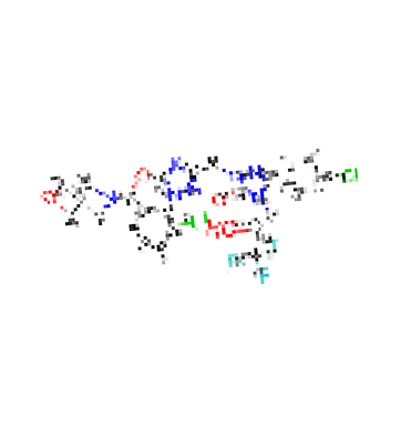 O=C(c1cccc(Cl)c1-n1cnc(Cn2nc(-c3ccc(Cl)cc3)n(C[C@H](O)C(F)(F)F)c2=O)n1)N1CC2(COC2)C1